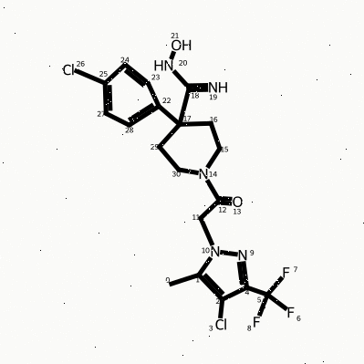 Cc1c(Cl)c(C(F)(F)F)nn1CC(=O)N1CCC(C(=N)NO)(c2ccc(Cl)cc2)CC1